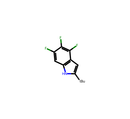 CC(C)(C)c1cc2c(F)c(F)c(F)cc2[nH]1